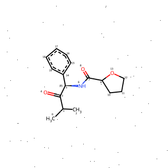 CC(C)C(=O)[C@H](NC(=O)C1CCCO1)c1ccccc1